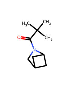 CC(C)(C)C(=O)N1CC2CC1C2